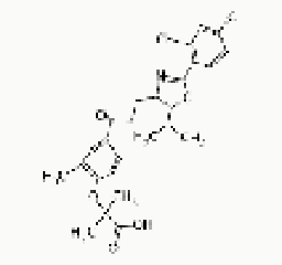 Cc1cc(C(=O)CCC2N=C(c3ccc(Cl)cc3Cl)OC2C(C)C)ccc1OC(C)(C)C(=O)O